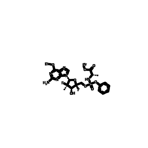 CCOc1nc(N)nc2c1ncn2[C@@H]1O[C@](F)(COP(=O)(N[C@@H](C)C(=O)OC(C)C)Oc2ccccc2)[C@@H](O)[C@@]1(C)F